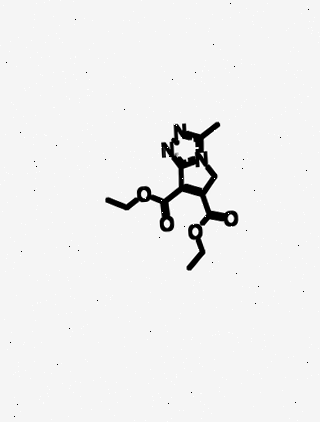 CCOC(=O)C1=C(C(=O)OCC)c2nnc(C)n2C1